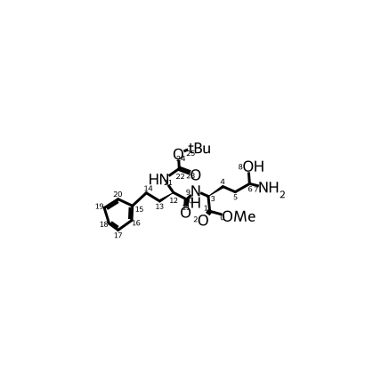 COC(=O)[C@H](CCC(N)O)NC(=O)[C@@H](CCc1ccccc1)NC(=O)OC(C)(C)C